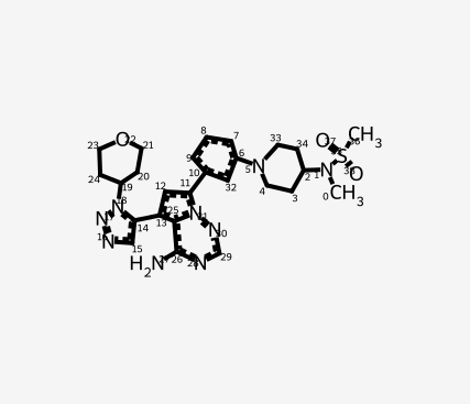 CN(C1CCN(c2cccc(-c3cc(-c4cnnn4C4CCOCC4)c4c(N)ncnn34)c2)CC1)S(C)(=O)=O